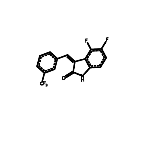 O=C1Nc2ccc(F)c(F)c2C1=Cc1cccc(C(F)(F)F)c1